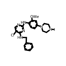 COc1cc(N2CCN(I)CC2)ccc1Nc1ncc(Cl)c(NCc2ccccc2)n1